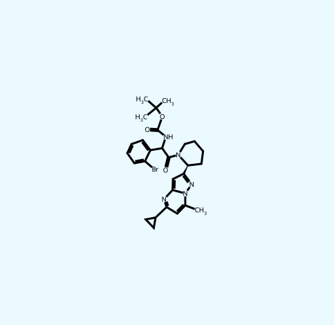 Cc1cc(C2CC2)nc2cc([C@@H]3CCCCN3C(=O)C(NC(=O)OC(C)(C)C)c3ccccc3Br)nn12